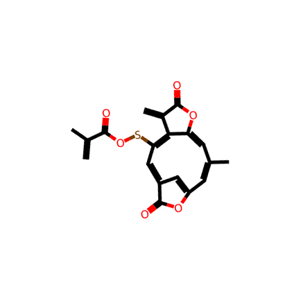 C=C(C)C(=O)OSc1cc2cc(cc(C)cc3c1C(=C)C(=O)O3)OC2=O